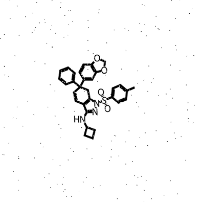 Cc1ccc(S(=O)(=O)n2nc(NC3CCC3)c3c2CC(c2ccccc2)(c2ccc4c(c2)OCO4)C=C3)cc1